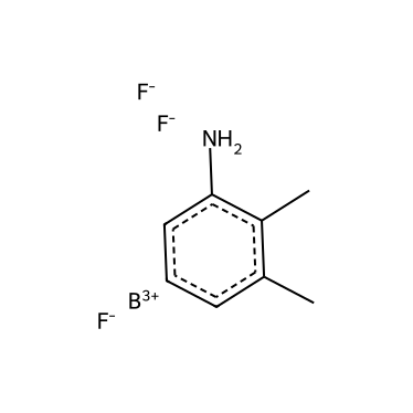 Cc1cccc(N)c1C.[B+3].[F-].[F-].[F-]